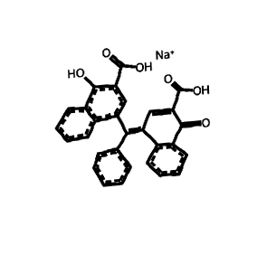 O=C(O)C1=C/C(=C(/c2ccccc2)c2cc(C(=O)O)c(O)c3ccccc23)c2ccccc2C1=O.[Na+]